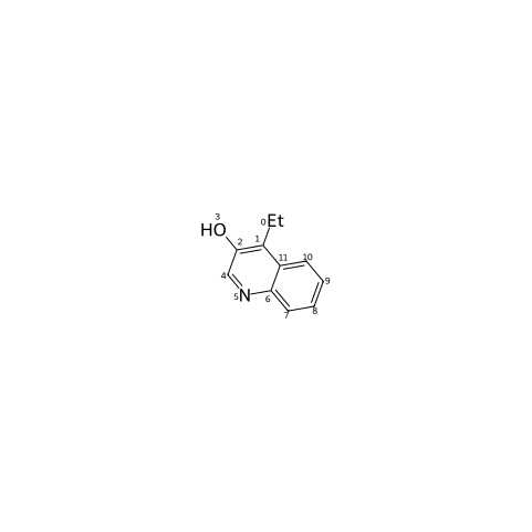 CCc1c(O)cnc2ccccc12